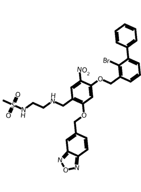 CS(=O)(=O)NCCNCc1cc([N+](=O)[O-])c(OCc2cccc(-c3ccccc3)c2Br)cc1OCc1ccc2nonc2c1